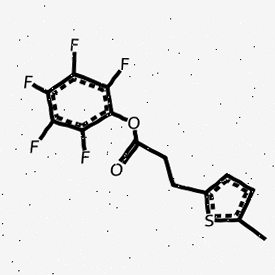 Cc1ccc(CCC(=O)Oc2c(F)c(F)c(F)c(F)c2F)s1